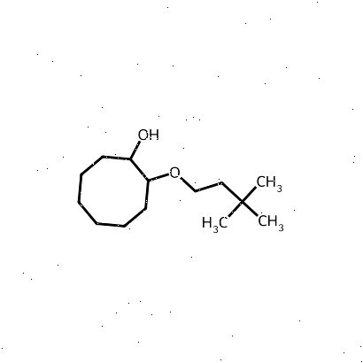 CC(C)(C)CCOC1CCCCCCC1O